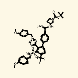 COc1ccc(CNS(=O)(=O)c2c(C(F)(F)F)ccc(-c3ccc(C(=N)NC4CCN(C(=O)OC(C)(C)C)C4)cc3)c2-c2nnn(Cc3ccc(OC)cc3)n2)cc1